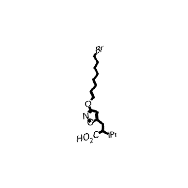 CC(C)C(Cc1cc(OCCCCCCCCBr)no1)C(=O)O